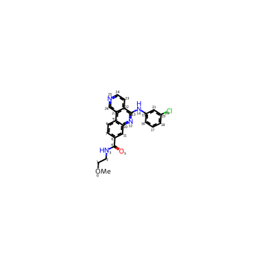 COCCNC(=O)c1ccc2c(c1)nc(Nc1cccc(Cl)c1)c1ccncc12